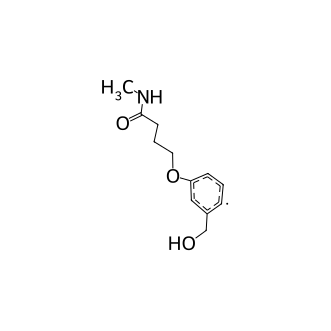 CNC(=O)CCCOc1cc[c]c(CO)c1